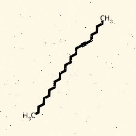 CCCCCCC#CCCCCCCCCCCCCCCCCC